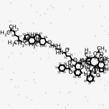 CC(=O)O[C@H]1C(=O)[C@@]2(C)[C@H]([C@H](OC(=O)c3ccccc3)[C@]3(O)C[C@H](OC(=O)[C@H](OC(=O)CCC(=O)NCCNCOC4CC[C@@]5(C)C(=CC[C@H]6[C@@H]7CC[C@@H](C[C@H](C)CCCC(C)C)[C@@]7(C)CC[C@@H]65)C4)[C@@H](NC(=O)c4ccccc4)c4ccccc4)C(C)=C1C3(C)C)[C@]1(OC(C)=O)CC[C@@H]1C[C@@H]2O